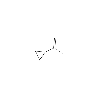 [CH]=C(C)C1CC1